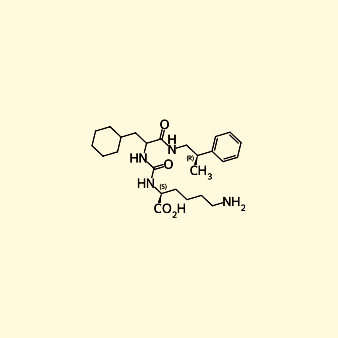 C[C@@H](CNC(=O)C(CC1CCCCC1)NC(=O)N[C@@H](CCCCN)C(=O)O)c1ccccc1